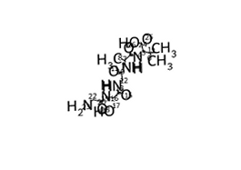 CC(C)[C@H](NC(=O)[C@H](C)NC(=O)CNC(=O)[C@H](CO)NC(=O)CN)C(=O)O